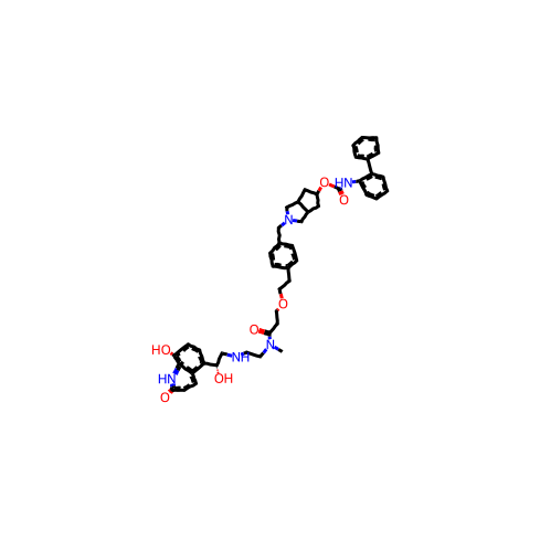 CN(CCNC[C@H](O)c1ccc(O)c2[nH]c(=O)ccc12)C(=O)CCOCCc1ccc(CN2CC3CC(OC(=O)Nc4ccccc4-c4ccccc4)CC3C2)cc1